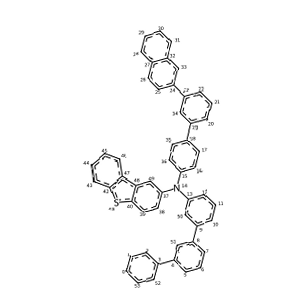 c1ccc(-c2cccc(-c3cccc(N(c4ccc(-c5cccc(-c6ccc7ccccc7c6)c5)cc4)c4ccc5sc6ccccc6c5c4)c3)c2)cc1